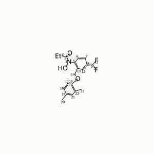 CCC(=O)N(O)c1ccc(C(F)F)cc1COc1ccc(C)cc1C